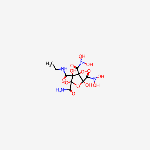 CCNC(=O)C1(O)C(O)(C(N)=O)OC(O)(C(=O)N(O)O)C1(O)C(=O)N(O)O